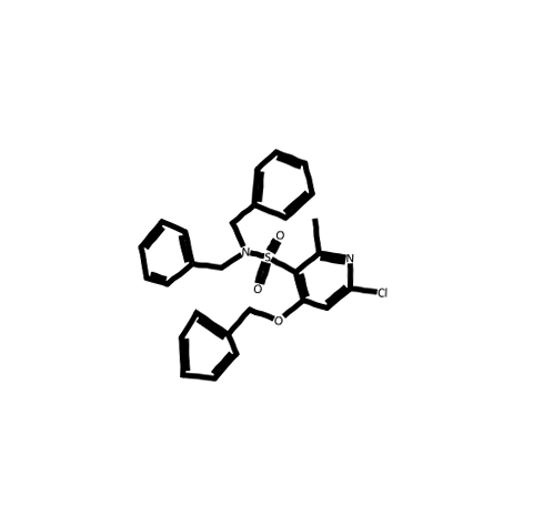 Cc1nc(Cl)cc(OCc2ccccc2)c1S(=O)(=O)N(Cc1ccccc1)Cc1ccccc1